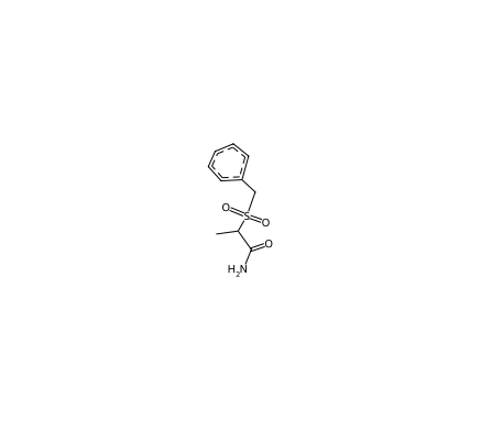 CC(C(N)=O)S(=O)(=O)Cc1ccccc1